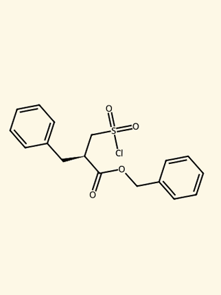 O=C(OCc1ccccc1)[C@@H](Cc1ccccc1)CS(=O)(=O)Cl